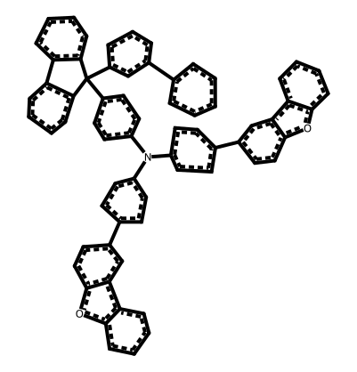 c1ccc(-c2cccc(C3(c4ccc(N(c5ccc(-c6ccc7oc8ccccc8c7c6)cc5)c5ccc(-c6ccc7oc8ccccc8c7c6)cc5)cc4)c4ccccc4-c4ccccc43)c2)cc1